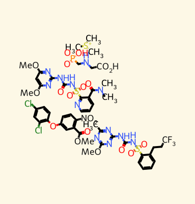 COC(=O)c1cc(Oc2ccc(Cl)cc2Cl)ccc1[N+](=O)[O-].COc1cc(OC)nc(NC(=O)NS(=O)(=O)c2ncccc2C(=O)N(C)C)n1.COc1nc(C)nc(NC(=O)NS(=O)(=O)c2ccccc2CCC(F)(F)F)n1.C[S+](C)C.O=C(O)CNCP(=O)([O-])O